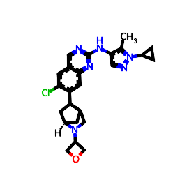 Cc1c(Nc2ncc3cc(Cl)c(C4C[C@H]5CC4CN5C4COC4)cc3n2)cnn1C1CC1